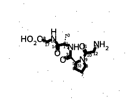 C[C@H](NC(=O)[C@@H]1CCCN1C(=O)CN)C(=O)NCC(=O)O